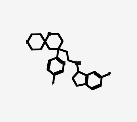 Fc1ccc(C2(CCNC3CCc4ccc(F)cc43)CCOC3(CCOCC3)C2)nc1